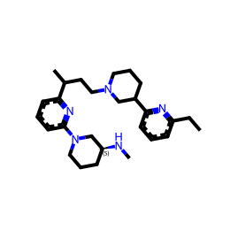 CCc1cccc(C2CCCN(CCC(C)c3cccc(N4CCC[C@H](NC)C4)n3)C2)n1